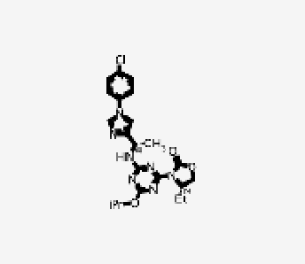 CC[C@H]1COC(=O)N1c1nc(N[C@@H](C)c2cn(-c3ccc(Cl)cc3)cn2)nc(OC(C)C)n1